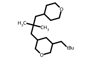 CC(C)(C)CC1COCC(CC(C)(C)CC2CCOCC2)C1